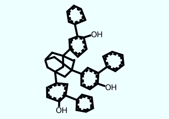 CC1C2(c3ccc(O)c(-c4ccccc4)c3)CC3CC(c4ccc(O)c(-c5ccccc5)c4)(C2)CC1(c1ccc(O)c(-c2ccccc2)c1)C3